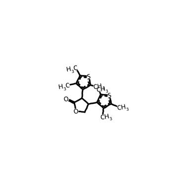 Cc1sc(C)c(C2COC(=O)C2c2c(C)sc(C)c2C)c1C